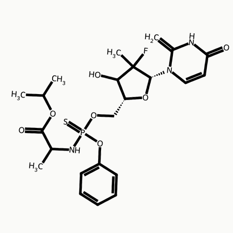 C=C1NC(=O)C=CN1[C@@H]1O[C@H](COP(=S)(NC(C)C(=O)OC(C)C)Oc2ccccc2)C(O)C1(C)F